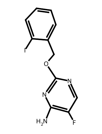 Nc1nc(OCc2ccccc2I)ncc1F